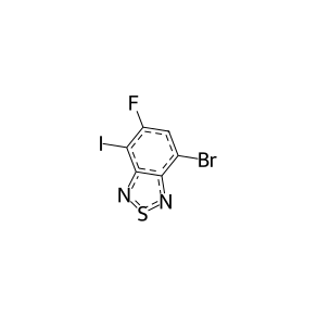 Fc1cc(Br)c2nsnc2c1I